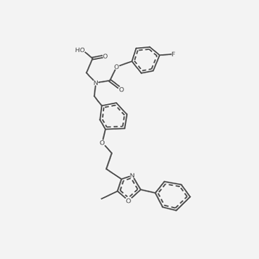 Cc1oc(-c2ccccc2)nc1CCOc1cccc(CN(CC(=O)O)C(=O)Oc2ccc(F)cc2)c1